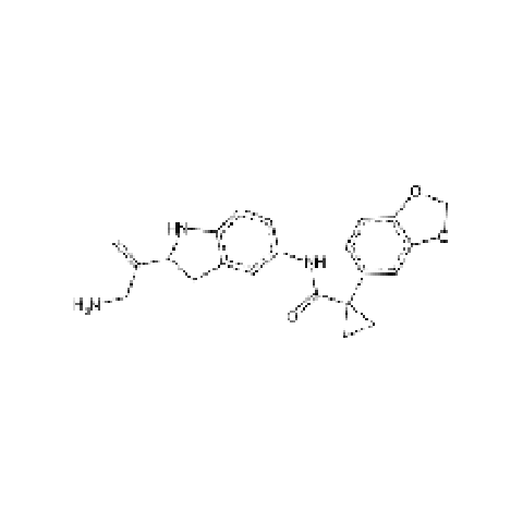 C=C(CN)C1Cc2cc(NC(=O)C3(c4ccc5c(c4)OCO5)CC3)ccc2N1